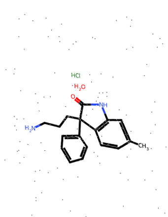 Cc1ccc2c(c1)NC(=O)C2(CCCN)c1ccccc1.Cl.O